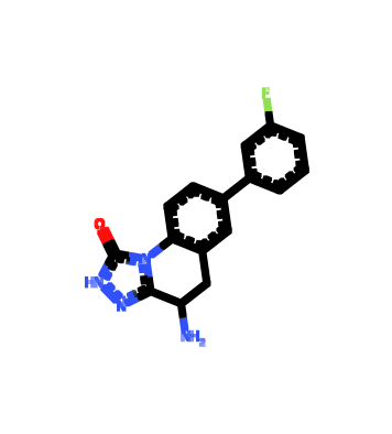 NC1Cc2cc(-c3cccc(F)c3)ccc2-n2c1n[nH]c2=O